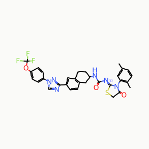 Cc1ccc(C)c(N2C(=O)CS/C2=N\C(=O)NC2CCc3cc(-c4ncn(-c5ccc(OC(F)(F)F)cc5)n4)ccc3C2)c1